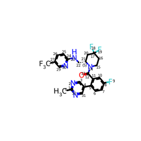 Cc1ncc(-c2ccc(F)cc2C(=O)N2CCC(F)(F)C[C@H]2CNc2ccc(C(F)(F)F)cn2)cn1